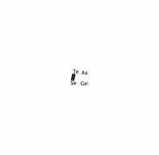 [As].[Ge].[Se]=[Te]